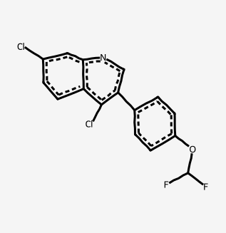 FC(F)Oc1ccc(-c2cnc3cc(Cl)ccc3c2Cl)cc1